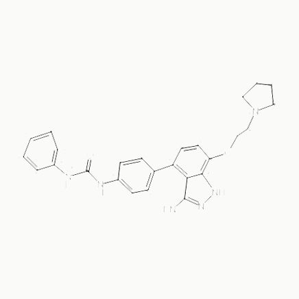 Nc1n[nH]c2c(OCCN3CCCC3)ccc(-c3ccc(NC(=O)Nc4ccccc4)cc3)c12